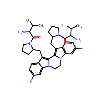 CC(C)C(N)C(=O)N1CCCC1Cc1c2n(c3cc(F)ccc13)CCn1c-2c(CC2CCCN2C(=O)C(N)C(C)C)c2ccc(F)cc21